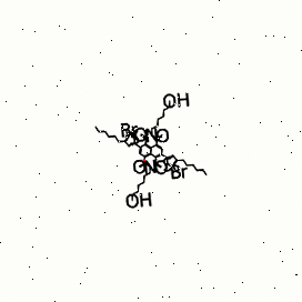 CCCCCCc1cc(-c2cc3c4c(c(-c5cc(CCCCCC)c(Br)s5)cc(C)c4c2C(=O)N(C=O)CCCCCCO)C(=O)N(CCCCCCO)C3=O)sc1Br